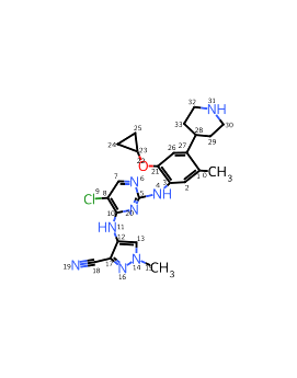 Cc1cc(Nc2ncc(Cl)c(Nc3cn(C)nc3C#N)n2)c(OC2CC2)cc1C1CCNCC1